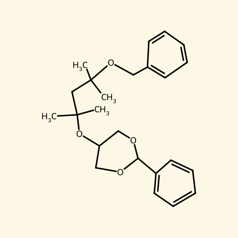 CC(C)(CC(C)(C)OC1COC(c2ccccc2)OC1)OCc1ccccc1